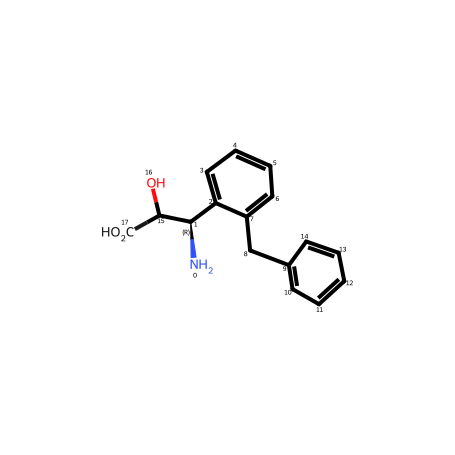 N[C@H](c1ccccc1Cc1ccccc1)C(O)C(=O)O